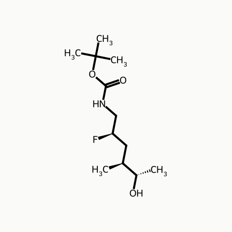 C[C@H](O)[C@@H](C)C[C@@H](F)CNC(=O)OC(C)(C)C